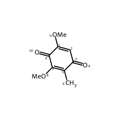 COC1=CC(=O)C(C)=C(OC)C1=O